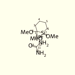 CCCC1(OC)CCCC[Si]1(OC)OC.NC(N)=O